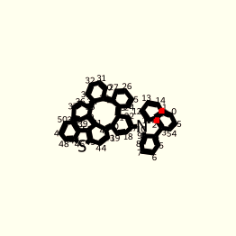 c1ccc(-c2ccccc2N(c2ccccc2)c2ccc3c(c2)c2ccccc2c2ccccc2c2ccccc2c2c3ccc3sc4ccccc4c32)cc1